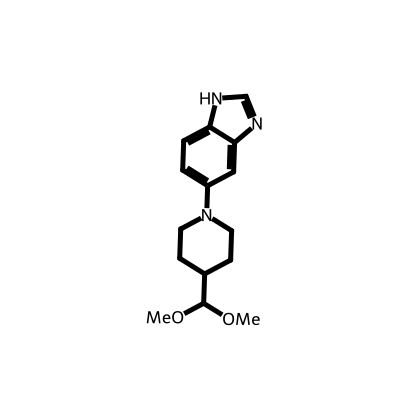 COC(OC)C1CCN(c2ccc3[nH]cnc3c2)CC1